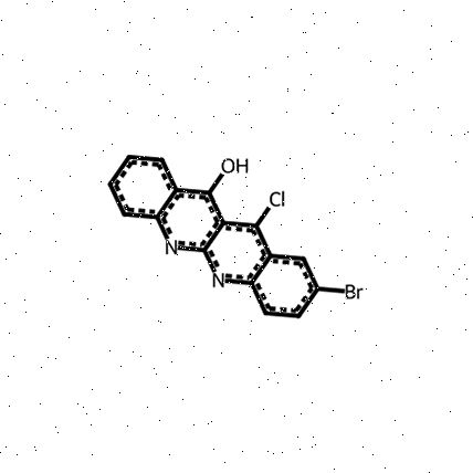 Oc1c2ccccc2nc2nc3ccc(Br)cc3c(Cl)c12